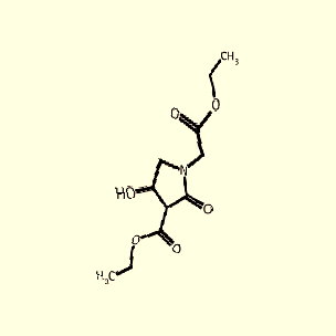 CCOC(=O)CN1CC(O)C(C(=O)OCC)C1=O